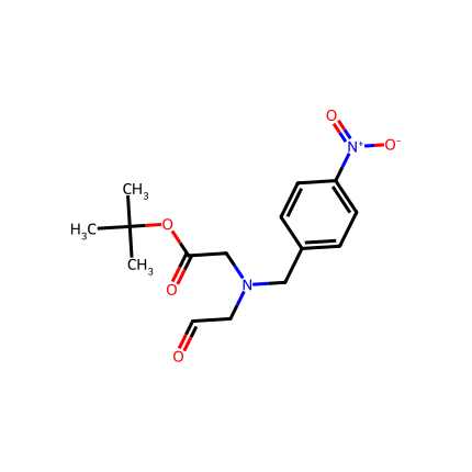 CC(C)(C)OC(=O)CN(CC=O)Cc1ccc([N+](=O)[O-])cc1